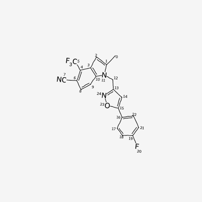 Cc1cc2c(C(F)(F)F)c(C#N)ccc2n1Cc1cc(-c2ccc(F)cc2)on1